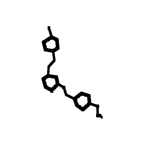 COc1ccc(COc2cc(CCc3ccc(F)cc3)ccn2)cc1